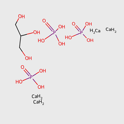 O=P(O)(O)O.O=P(O)(O)O.O=P(O)(O)O.OCC(O)CO.[CaH2].[CaH2].[CaH2].[CaH2]